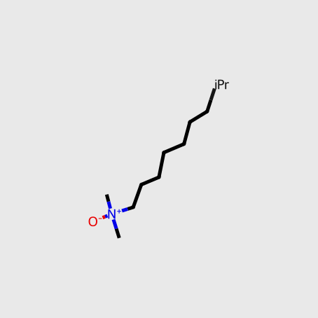 CC(C)CCCCCCC[N+](C)(C)[O-]